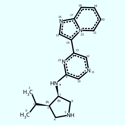 CC(C)[C@@H]1CNC[C@@H]1Nc1cncc(-c2cnc3ccccn23)n1